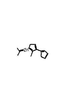 C[C](C)=[Zn][C]1=C(C)C(C2=CC=CC2)=CC1